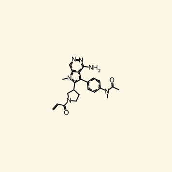 C=CC(=O)N1CCC(c2c(-c3ccc(N(C)C(C)=O)cc3)c3c(N)nncc3n2C)C1